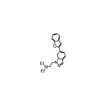 CCN(CC)CCN1N=CC2=CC=C(c3cc4ccccc4o3)CC21